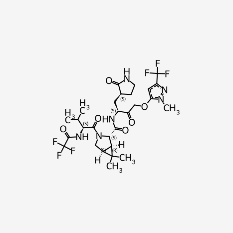 CC(C)[C@H](NC(=O)C(F)(F)F)C(=O)N1C[C@H]2[C@@H]([C@H]1C(=O)N[C@@H](C[C@@H]1CCNC1=O)C(=O)COc1cc(C(F)(F)F)nn1C)C2(C)C